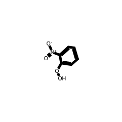 O=[N+]([O-])c1ccccc1OO